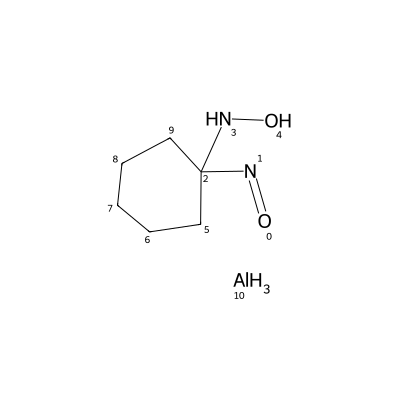 O=NC1(NO)CCCCC1.[AlH3]